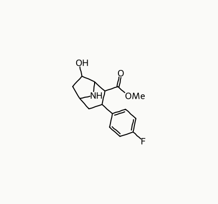 COC(=O)C1C(c2ccc(F)cc2)CC2CC(O)C1N2